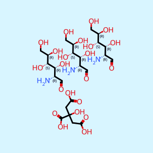 N[C@@H](C=O)[C@@H](O)[C@H](O)[C@H](O)CO.N[C@@H](C=O)[C@@H](O)[C@H](O)[C@H](O)CO.N[C@@H](C=O)[C@@H](O)[C@H](O)[C@H](O)CO.O=C(O)CC(O)(CC(=O)O)C(=O)O